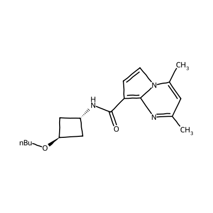 CCCCO[C@H]1C[C@H](NC(=O)c2ccn3c(C)cc(C)nc23)C1